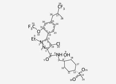 CCn1nc(C(=O)NC[C@]2(O)CC[C@@H](S(C)(=O)=O)CC2)c(Cl)c1-c1ccc(CC(C)C(F)(F)F)cc1OC(F)(F)F